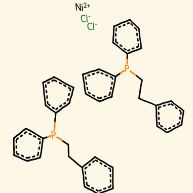 [Cl-].[Cl-].[Ni+2].c1ccc(CCP(c2ccccc2)c2ccccc2)cc1.c1ccc(CCP(c2ccccc2)c2ccccc2)cc1